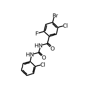 O=C(NC(=O)c1cc(Cl)c(Br)cc1F)Nc1ccccc1Cl